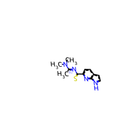 C/C(=N\C(=S)c1ccc2cc[nH]c2n1)N(C)C